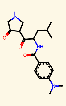 CC(C)CC(NC(=O)c1ccc(N(C)C)cc1)C(=O)C1CNCC1=O